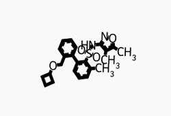 Cc1cccc(-c2ccccc2COC2CCC2)c1S(=O)(=O)Nc1noc(C)c1C